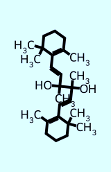 CC1=C(C=CC(C)(O)C(C)(O)C=CC2=C(C)CCCC2(C)C)C(C)(C)CCC1